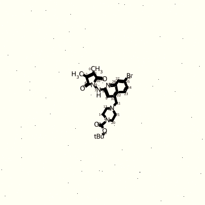 CC1=C(C)C(=O)N(Nc2cc(CN3CCN(C(=O)OC(C)(C)C)CC3)c3ccc(Br)cc3n2)C1=O